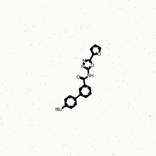 CC(C)(C)c1ccc(-c2cccc(C(=O)Nc3nnc(-c4ccco4)o3)c2)cc1